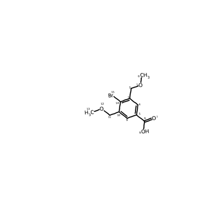 COCc1cc(C(=O)O)cc(COC)c1Br